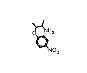 CC(N)C(C)Oc1ccc([N+](=O)[O-])cc1